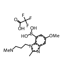 CNCCCn1c(C)nc2cc(OC)cc(B(O)O)c21.O=C(O)C(F)(F)F